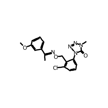 COc1cccc(C(C)=NOCc2c(Cl)cccc2-n2nnn(C)c2=O)c1